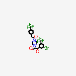 O=C[C@@H](C(=O)c1cc(Br)cc(C(F)(F)F)c1)N1CCN(C(=O)Cc2ccc(C(F)(F)F)cc2)CC1